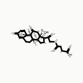 C[C@]12C=CC(=O)C=C1CC[C@@H]1[C@@H]2C(=O)C[C@@]2(C)[C@H]1CC[C@]2(O)C(=O)COC(=O)CCC(=O)O